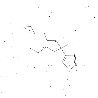 CCCCCCC(C)(CCCC)c1csnn1